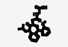 COc1ccccc1C1OC(CC(=O)NCC(=O)O)C(=O)N(CC(C)C)c2ccccc21